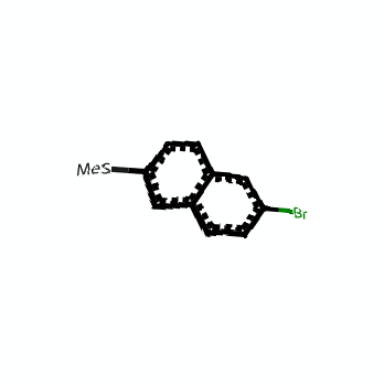 CSc1ccc2cc(Br)ccc2c1